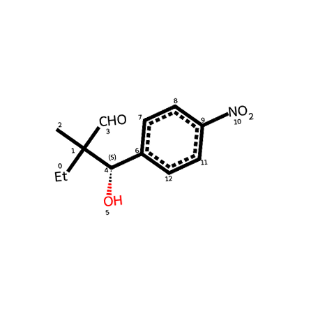 CCC(C)(C=O)[C@@H](O)c1ccc([N+](=O)[O-])cc1